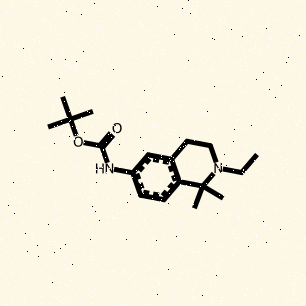 CCN1CCc2cc(NC(=O)OC(C)(C)C)ccc2C1(C)C